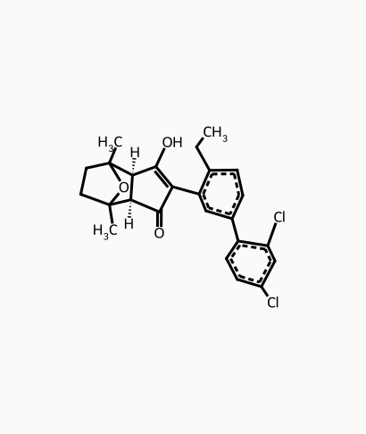 CCc1ccc(-c2ccc(Cl)cc2Cl)cc1C1=C(O)[C@H]2[C@@H](C1=O)C1(C)CCC2(C)O1